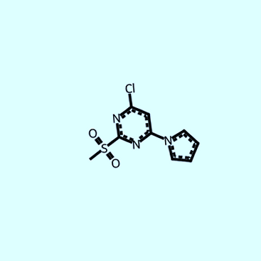 CS(=O)(=O)c1nc(Cl)cc(-n2cccc2)n1